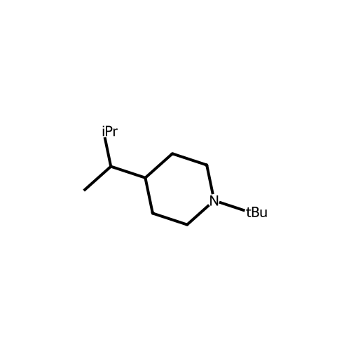 CC(C)C(C)C1CCN(C(C)(C)C)CC1